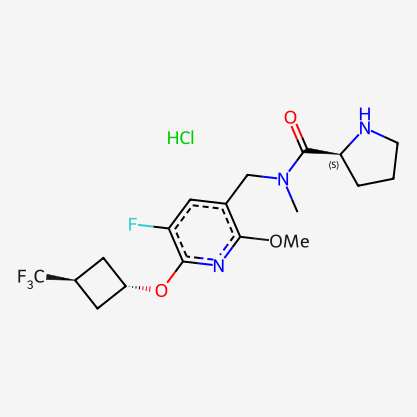 COc1nc(O[C@H]2C[C@H](C(F)(F)F)C2)c(F)cc1CN(C)C(=O)[C@@H]1CCCN1.Cl